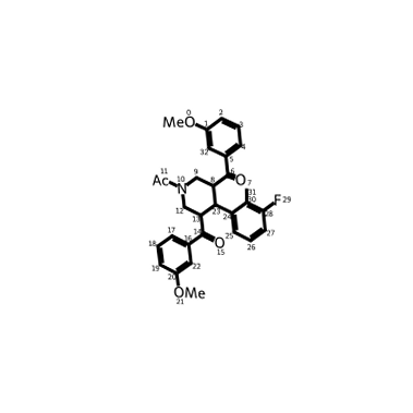 COc1cccc(C(=O)C2CN(C(C)=O)CC(C(=O)c3cccc(OC)c3)C2c2cccc(F)c2C)c1